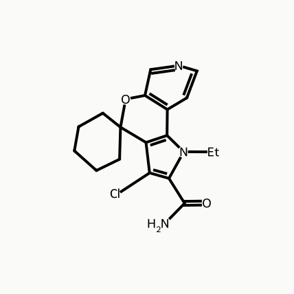 CCn1c(C(N)=O)c(Cl)c2c1-c1ccncc1OC21CCCCC1